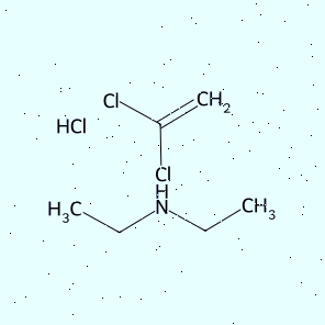 C=C(Cl)Cl.CCNCC.Cl